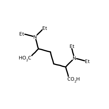 CCN(CC)C(CCC(C(=O)O)N(CC)CC)C(=O)O